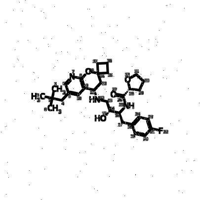 CC(C)(C)Cc1cnc2c(c1)[C@@H](NC[C@@H](O)[C@H](Cc1ccc(F)cc1)NC(=O)[C@H]1CCCO1)CC1(CCC1)O2